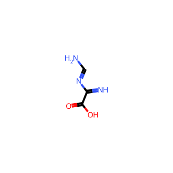 N=C(/N=C/N)C(=O)O